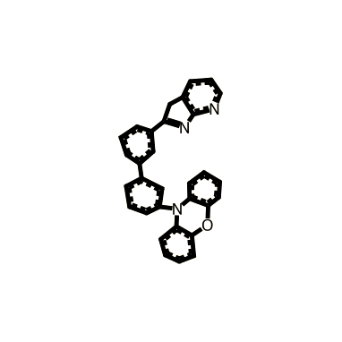 c1cc(C2=Nc3ncccc3C2)cc(-c2cccc(N3c4ccccc4Oc4ccccc43)c2)c1